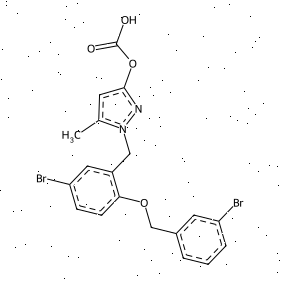 Cc1cc(OC(=O)O)nn1Cc1cc(Br)ccc1OCc1cccc(Br)c1